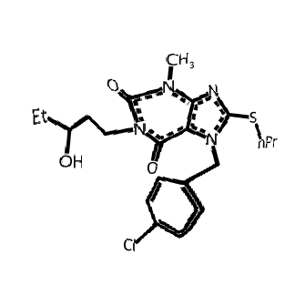 CCCSc1nc2c(c(=O)n(CCC(O)CC)c(=O)n2C)n1CC1=C=C=C(Cl)C=C1